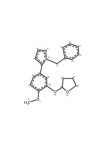 COc1ccc(-c2ccnn2Cc2ccccc2)cc1OC1CCCO1